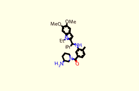 CCn1c(C(Nc2cc(C(=O)N3CCCC(N)C3)ccc2C)C(C)C)cc2cc(OC)c(OC)cc21